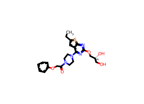 CCc1cc2c(N3CCN(C(=O)COc4ccccc4)CC3)nc(OC[C@H](O)CO)nc2s1